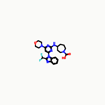 O=C(O)N1CCCC(Nc2nc(N3CCOCC3)cc(-n3c(C(F)F)nc4ccccc43)n2)CC1